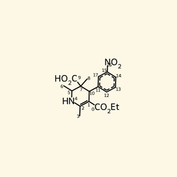 CCOC(=O)C1=C(C)NC(C)C(C)(C(=O)O)C1c1cccc([N+](=O)[O-])c1